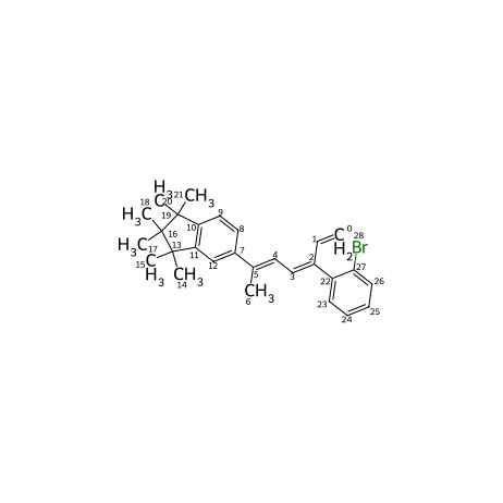 C=C/C(=C\C=C(/C)c1ccc2c(c1)C(C)(C)C(C)(C)C2(C)C)c1ccccc1Br